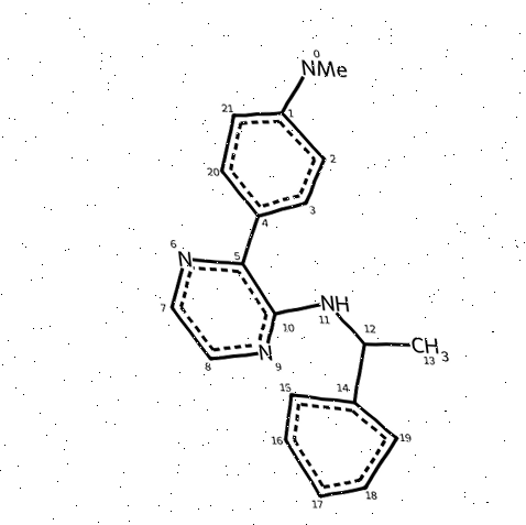 CNc1ccc(-c2nccnc2NC(C)c2ccccc2)cc1